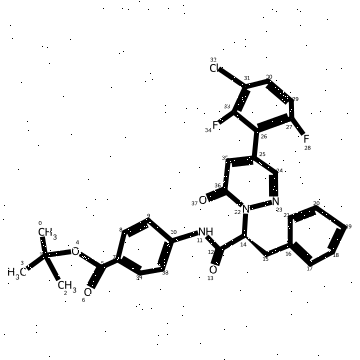 CC(C)(C)OC(=O)c1ccc(NC(=O)[C@H](Cc2ccccc2)n2ncc(-c3c(F)ccc(Cl)c3F)cc2=O)cc1